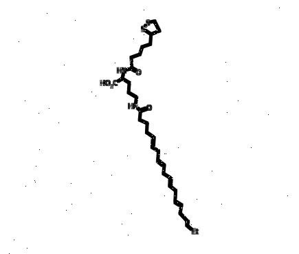 CCC=CCC=CCC=CCC=CCC=CCCCC(=O)NCCCC(NC(=O)CCCCC1CCSS1)C(=O)O